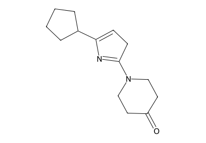 O=C1CCN(C2=NC(C3CCCC3)=CC2)CC1